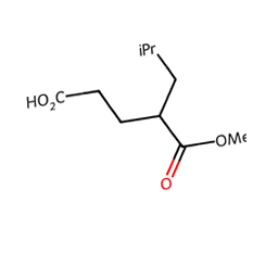 COC(=O)C(CCC(=O)O)CC(C)C